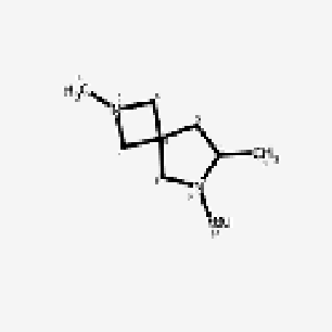 CC1CC2(CN(C)C2)CN1C(C)(C)C